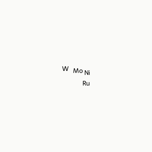 [Mo].[Ni].[Ru].[W]